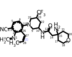 C=Nc1c(C#N)ccc(N2CC(NC(=O)CC3(N)CCOCC3)CC(C(F)(F)F)C2)c1/C=C\C